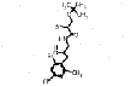 Cc1cc(Cl)cc(Br)c1CC(O)CNC(=O)C(Br)COC(C)(C)C